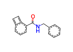 O=C(NCc1ccccc1)c1cccc2c1=CC=2